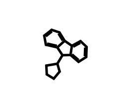 c1ccc2c(c1)-c1ccccc1C2C1CCCC1